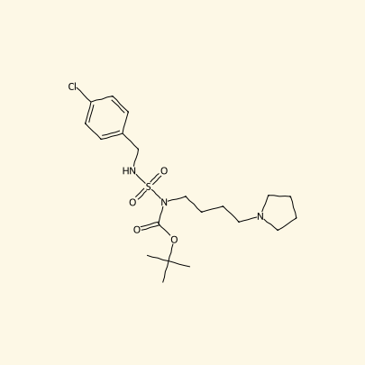 CC(C)(C)OC(=O)N(CCCCN1CCCC1)S(=O)(=O)NCc1ccc(Cl)cc1